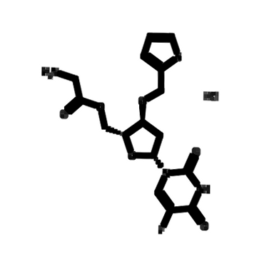 Cl.NCC(=O)OC[C@H]1O[C@@H](n2cc(F)c(=O)[nH]c2=O)C[C@@H]1OCc1cccs1